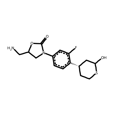 NCC1CN(c2ccc([C@H]3CCSC(O)C3)c(F)c2)C(=O)O1